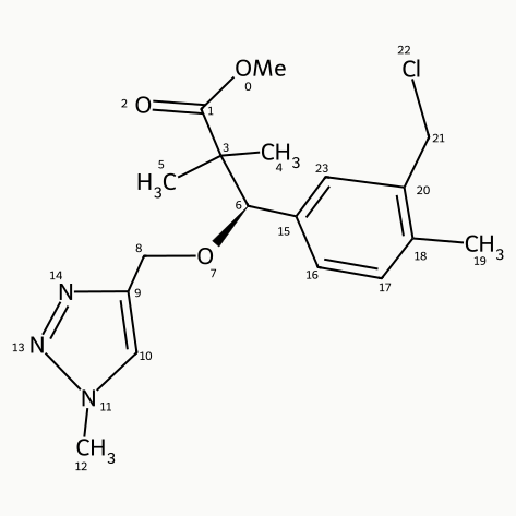 COC(=O)C(C)(C)[C@H](OCc1cn(C)nn1)c1ccc(C)c(CCl)c1